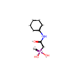 O=C(CP(O)(O)=[Se])NC1CCCCC1